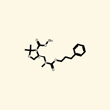 CN(C[C@H]1COC(C)(C)N1C(=O)OC(C)(C)C)C(=O)OCCCc1ccccc1